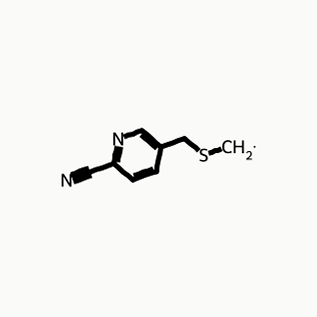 [CH2]SCc1ccc(C#N)nc1